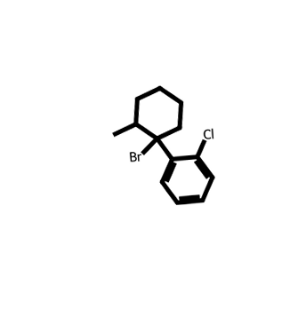 CC1CCCCC1(Br)c1ccccc1Cl